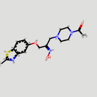 BC(=O)N1CCN(C/C(COc2ccc3sc(C)nc3c2)=N/O)CC1